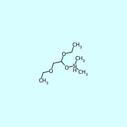 CCOCC(OCC)O[SiH](C)C